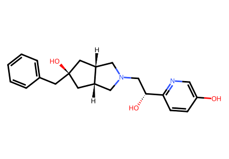 Oc1ccc([C@H](O)CN2C[C@@H]3C[C@](O)(Cc4ccccc4)C[C@@H]3C2)nc1